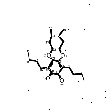 CCCCOC1=C(CCCC)C(=O)C(=O)C(CCCC)=C1OCCCC